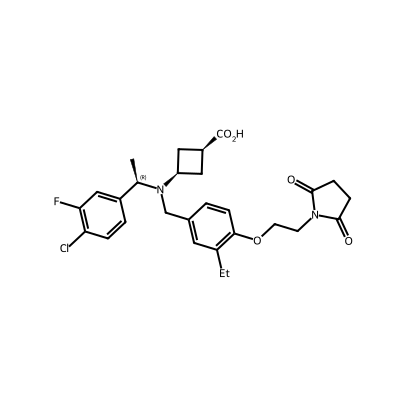 CCc1cc(CN([C@H]2C[C@@H](C(=O)O)C2)[C@H](C)c2ccc(Cl)c(F)c2)ccc1OCCN1C(=O)CCC1=O